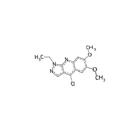 CCn1ncc2c(Cl)c3cc(OC)c(OC)cc3nc21